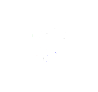 Cc1nc(CN2CCC(c3cccc4c3O[C@@H](c3ccc(Cl)cc3F)C=C4)CC2)n(C[C@@H]2CCO2)c1C=O